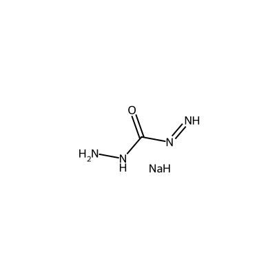 N=NC(=O)NN.[NaH]